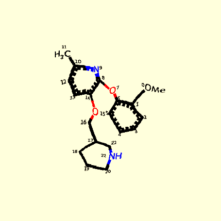 COc1ccccc1Oc1nc(C)ccc1OCC1CCCNC1